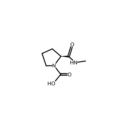 CNC(=O)[C@@H]1CCCN1C(=O)O